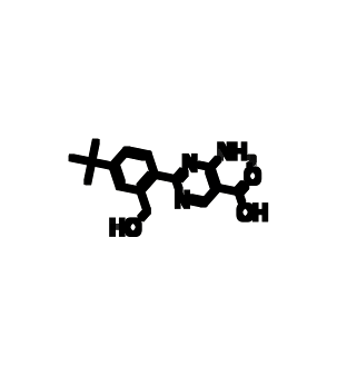 CC(C)(C)c1ccc(-c2ncc(C(=O)O)c(N)n2)c(CO)c1